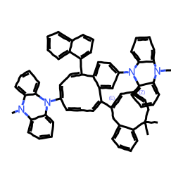 CN1c2ccccc2N(c2cccc(/C3=C/C=C\CC(C)(C)c4ccccc4C3)c3cc(N4c5ccccc5N(C)c5ccccc54)ccc3c(-c3cccc4ccccc34)cc2)c2ccccc21